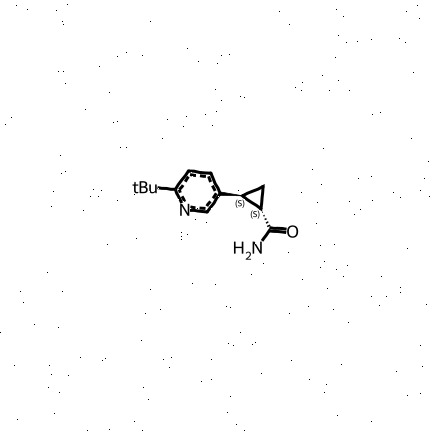 CC(C)(C)c1ccc([C@H]2C[C@@H]2C(N)=O)cn1